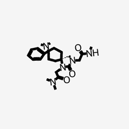 CNC(=O)CN1C[C@]2(CC[C@](c3ccccc3)(N(C)C)CC2)N(CC(=O)N(C)C)C1=O